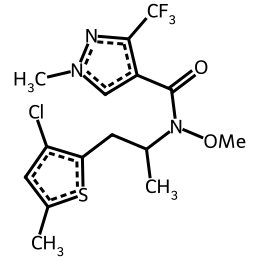 CON(C(=O)c1cn(C)nc1C(F)(F)F)C(C)Cc1sc(C)cc1Cl